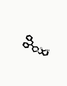 O=c1[nH]cccc1CN1CCC(C(Cc2ccccc2)c2ccccc2)CC1